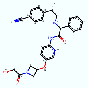 C[C@H](CNC(C(=O)Nc1ccc(OC2CN(C(=O)CO)C2)cn1)c1ccccc1)c1ccc(C#N)cc1